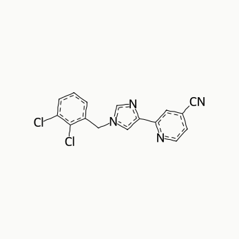 N#Cc1ccnc(-c2cn(Cc3cccc(Cl)c3Cl)cn2)c1